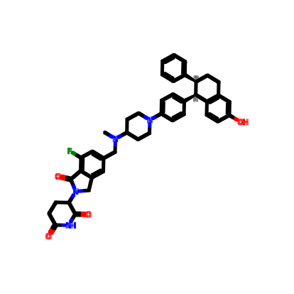 CN(Cc1cc(F)c2c(c1)CN(C1CCC(=O)NC1=O)C2=O)C1CCN(c2ccc([C@@H]3c4ccc(O)cc4CC[C@@H]3c3ccccc3)cc2)CC1